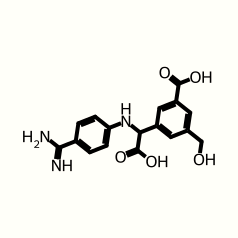 N=C(N)c1ccc(NC(C(=O)O)c2cc(CO)cc(C(=O)O)c2)cc1